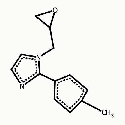 Cc1ccc(-c2nccn2CC2CO2)cc1